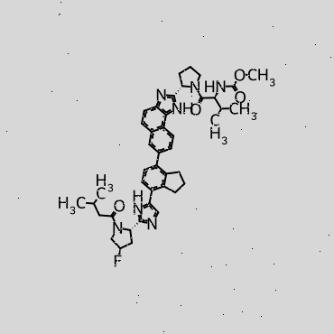 COC(=O)N[C@H](C(=O)N1CCC[C@H]1c1nc2ccc3cc(-c4ccc(-c5cnc([C@@H]6C[C@@H](F)CN6C(=O)CC(C)C)[nH]5)c5c4CCC5)ccc3c2[nH]1)C(C)C